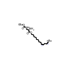 CCCC/C=C\C/C=C\CCCCCCCCOC(=O)[C@@H](N)CNC(=O)OC(C)(C)C